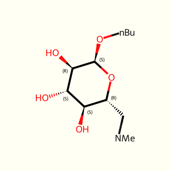 CCCCO[C@H]1O[C@H](CNC)[C@@H](O)[C@H](O)[C@H]1O